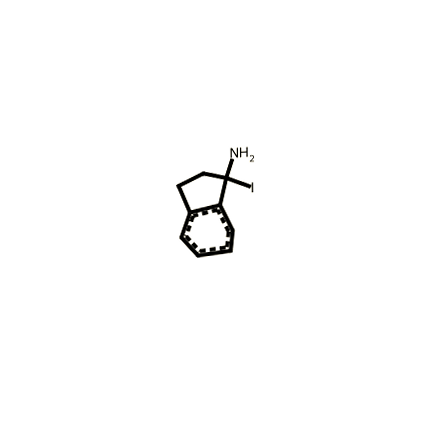 NC1(I)CCc2ccccc21